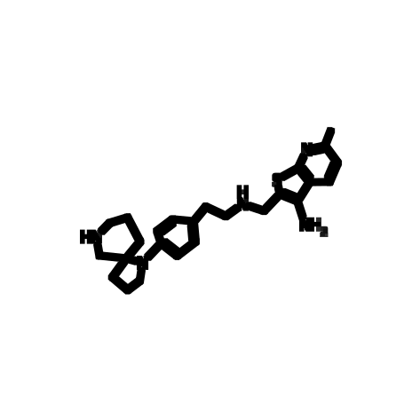 Cc1ccc2c(N)c(CNCCc3ccc(N4CCCC45CCCNC5)cc3)sc2n1